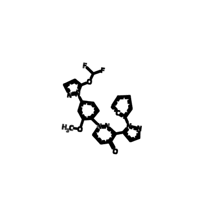 COc1cc(-n2nccc2OC(F)F)ccc1-n1ccc(=O)c(-c2ccnn2-c2ccccc2)n1